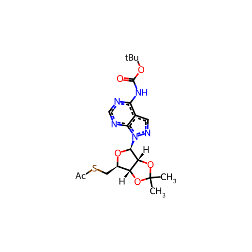 CC(=O)SC[C@H]1O[C@@H](n2ncc3c(NC(=O)OC(C)(C)C)ncnc32)[C@@H]2OC(C)(C)O[C@@H]21